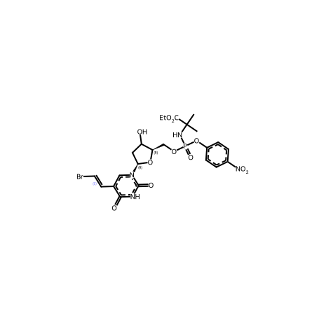 CCOC(=O)C(C)(C)NP(=O)(OC[C@H]1O[C@@H](n2cc(/C=C/Br)c(=O)[nH]c2=O)CC1O)Oc1ccc([N+](=O)[O-])cc1